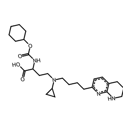 O=C(NC(CCN(CCCCc1ccc2c(n1)NCCC2)C1CC1)C(=O)O)OC1CCCCC1